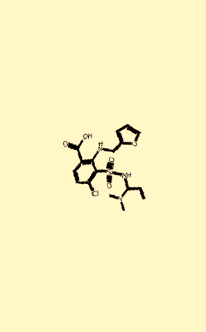 CCC(NS(=O)(=O)c1c(Cl)ccc(C(=O)O)c1NCc1ccco1)N(C)C